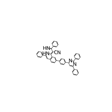 N#C/C(C(=N)c1ccccc1)=C1/NC(c2ccccc2)=Cc2ccc(-c3ccc(-c4cc(-c5ccccc5)nc(-c5ccccc5)n4)cc3)cc21